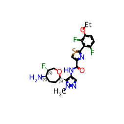 CCOc1ccc(F)c(-c2nc(C(=O)Nc3cnn(C)c3[C@@H]3CC[C@@H](N)[C@H](F)CO3)cs2)c1F